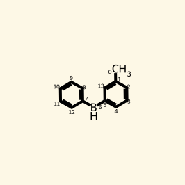 Cc1cccc(Bc2ccccc2)c1